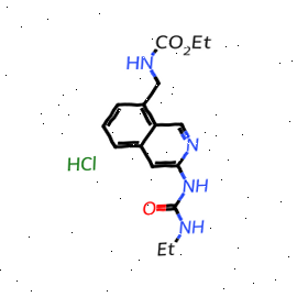 CCNC(=O)Nc1cc2cccc(CNC(=O)OCC)c2cn1.Cl